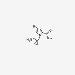 COC(=O)c1cc(Br)cn1CC1(CN)CC1